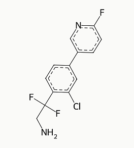 NCC(F)(F)c1ccc(-c2ccc(F)nc2)cc1Cl